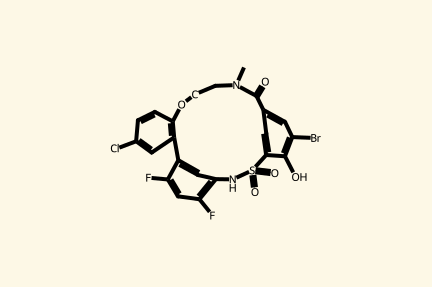 CN1CCOc2ccc(Cl)cc2-c2cc(c(F)cc2F)NS(=O)(=O)c2cc(cc(Br)c2O)C1=O